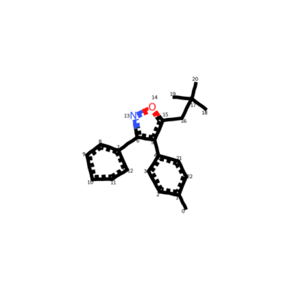 Cc1ccc(-c2c(-c3ccccc3)noc2CC(C)(C)C)cc1